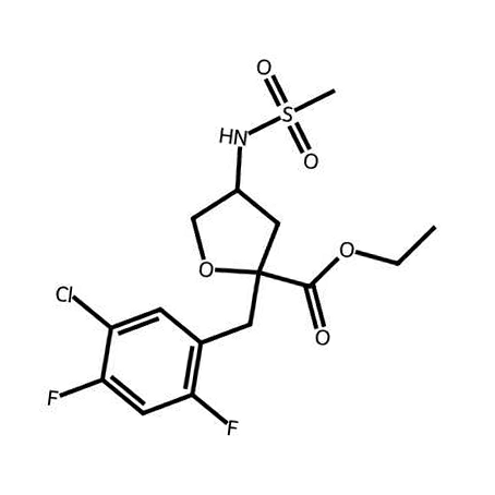 CCOC(=O)C1(Cc2cc(Cl)c(F)cc2F)CC(NS(C)(=O)=O)CO1